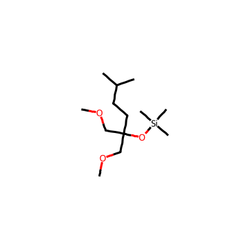 COCC(CCC(C)C)(COC)O[Si](C)(C)C